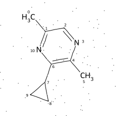 Cc1cnc(C)c(C2CC2)n1